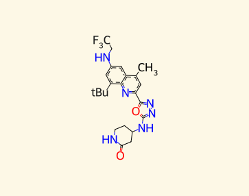 Cc1cc(-c2nnc(NC3CCNC(=O)C3)o2)nc2c(C(C)(C)C)cc(NCC(F)(F)F)cc12